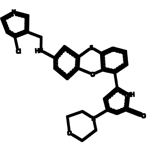 O=c1cc(N2CCOCC2)cc(-c2cccc3c2Oc2ccc(NCc4cnccc4Cl)cc2S3)[nH]1